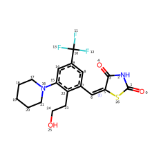 O=C1NC(=O)/C(=C\c2cc(C(F)(F)F)cc(N3CCCCC3)c2CCO)S1